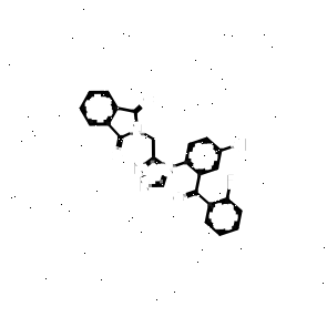 O=C(c1ccccc1F)c1cc(Cl)ccc1-n1cnnc1CN1C(=O)c2ccccc2C1=O